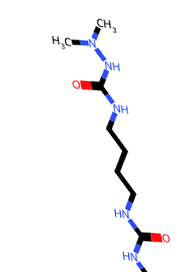 CNC(=O)NCCCCNC(=O)NN(C)C